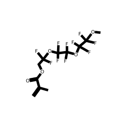 C=C(C)C(=O)OCC(F)(F)OC(F)(F)C(F)(F)OC(F)(F)C(F)(F)OC